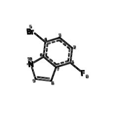 Fc1ccc(Br)c2c1C=C[N]2